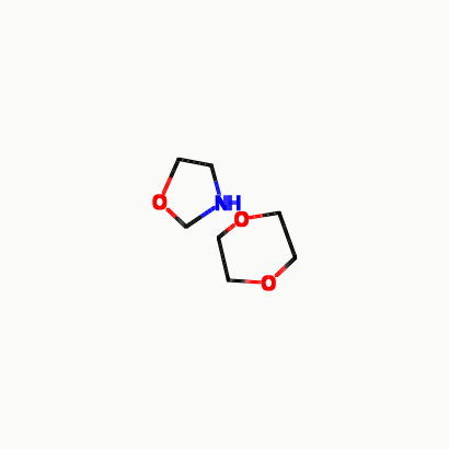 C1COCCO1.C1COCN1